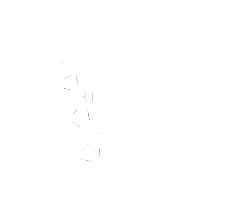 CCCCCCCCCCCCc1ccccc1O.CCCCCCCCCCCc1ccccc1O.CCCCCCCCCCc1ccccc1O